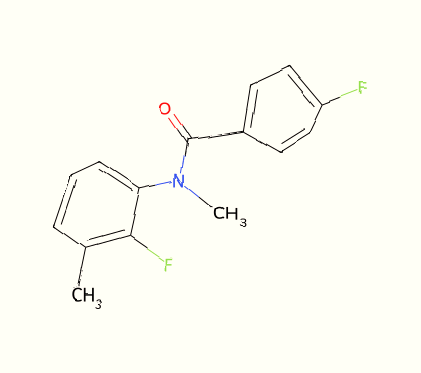 Cc1cccc(N(C)C(=O)c2ccc(F)cc2)c1F